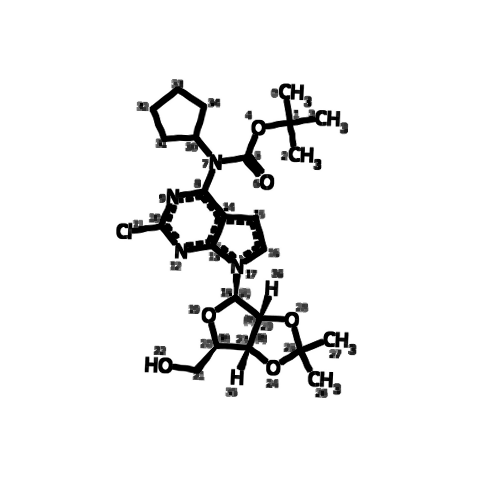 CC(C)(C)OC(=O)N(c1nc(Cl)nc2c1ccn2[C@@H]1O[C@H](CO)[C@H]2OC(C)(C)O[C@H]21)C1CCCC1